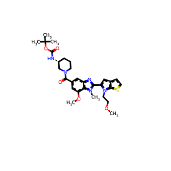 COCCn1c(-c2nc3cc(C(=O)N4CCC[C@@H](NC(=O)OC(C)(C)C)C4)cc(OC)c3n2C)cc2ccsc21